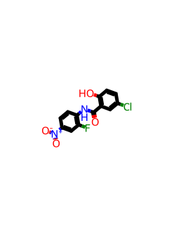 O=C(Nc1ccc([N+](=O)[O-])cc1F)c1cc(Cl)ccc1O